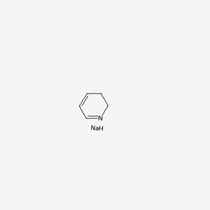 C1=CCCN=C1.[NaH]